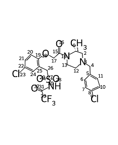 C[C@@H]1CN(Cc2ccc(Cl)cc2)CCN1C(=O)COc1ccc(Cl)cc1CS(=O)(=O)NC(=O)C(F)(F)F